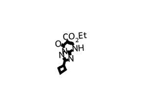 CCOC(=O)c1c[nH]c2nc(C3CCC3)nn2c1=O